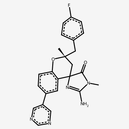 CN1C(=O)C2(C[C@@](C)(Cc3ccc(F)cc3)Oc3ccc(-c4cncnc4)cc32)N=C1N